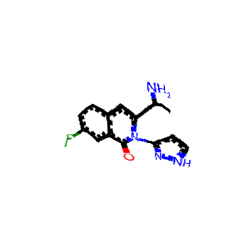 CC(N)c1cc2ccc(F)cc2c(=O)n1-c1cc[nH]n1